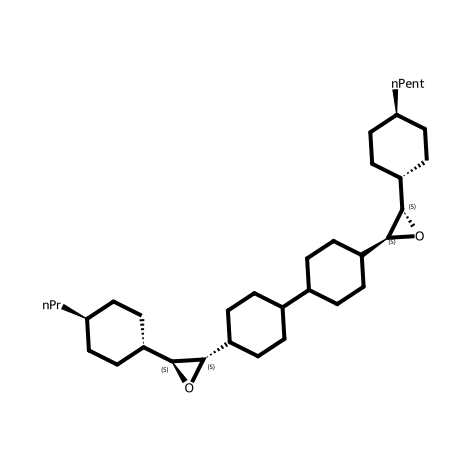 CCCCC[C@H]1CC[C@H]([C@@H]2O[C@H]2C2CCC(C3CCC([C@@H]4O[C@H]4[C@H]4CC[C@H](CCC)CC4)CC3)CC2)CC1